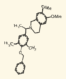 COc1cc2c(cc1OC)CN(C(C)c1cc(C)c(OCc3ccccc3)c(C)c1)CC2